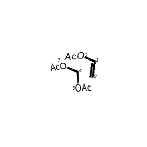 C=COC(C)=O.CC(=O)OCOC(C)=O